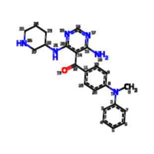 CN(c1ccccc1)c1ccc(C(=O)c2c(N)ncnc2NC2CCCNC2)cc1